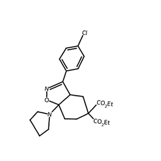 CCOC(=O)C1(C(=O)OCC)CCC2(N3CCCC3)ON=C(c3ccc(Cl)cc3)C2C1